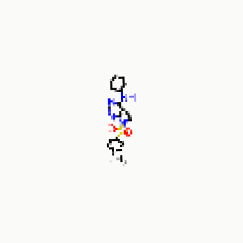 Cc1ccc(S(=O)(=O)n2ccc3c(Nc4ccccc4)ncnc32)cc1